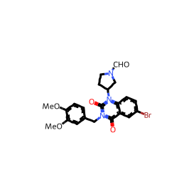 COc1ccc(Cn2c(=O)c3cc(Br)ccc3n(C3CCN(C=O)C3)c2=O)cc1OC